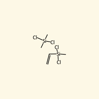 C=C[Si](C)(Cl)Cl.C[Si](C)(Cl)Cl